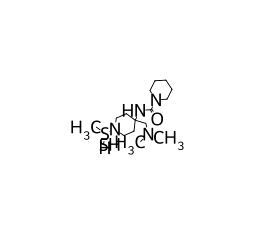 CN(C)CC1(NC(=O)N2CCCCC2)CCN([SH](C)S)CC1